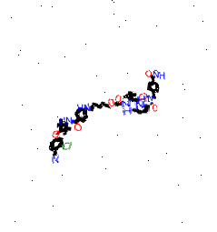 CNC(=O)c1ccc(CNC(=O)[C@@H]2CCCN2C(=O)C(NC(=O)COCCCCCNc2ccc(C(=O)N[C@H]3C(C)(C)[C@H](Oc4ccc(C#N)c(Cl)c4)C3(C)C)cc2)C(C)(C)C)cc1